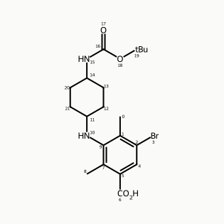 Cc1c(Br)cc(C(=O)O)c(C)c1NC1CCC(NC(=O)OC(C)(C)C)CC1